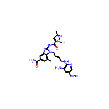 CCn1nc(C)cc1C(=O)Nc1nc2cc(C(N)=O)cc(C)c2n1C/C=C/CNc1ncc(CN)cc1N